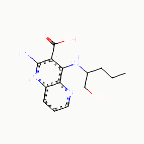 CCCC(CO)Nc1c(C(=O)O)c(N)nc2cccnc12